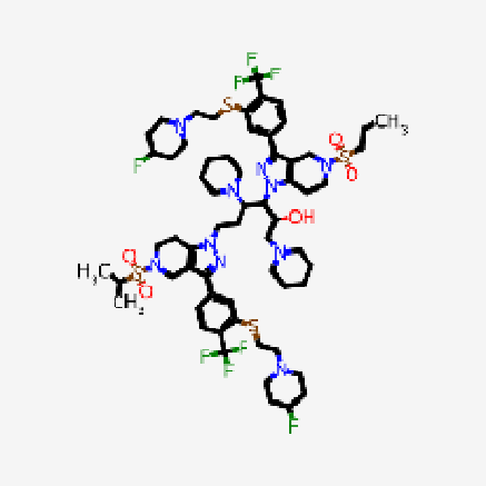 CCCS(=O)(=O)N1CCc2c(c(-c3ccc(C(F)(F)F)c(SCCN4CCC(F)CC4)c3)nn2C(C(CCn2nc(-c3ccc(C(F)(F)F)c(SCCN4CCC(F)CC4)c3)c3c2CCN(S(=O)(=O)C(C)C)C3)N2CCCCC2)[C@@H](O)CN2CCCCC2)C1